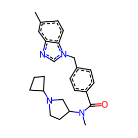 Cc1ccc2c(c1)ncn2Cc1ccc(C(=O)N(C)C2CCN(C3CCC3)C2)cc1